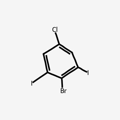 Clc1cc(I)c(Br)c(I)c1